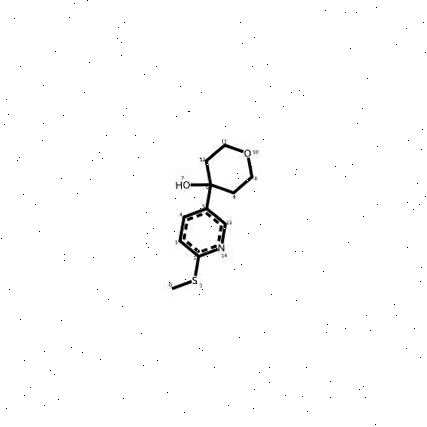 CSc1ccc(C2(O)CCOCC2)cn1